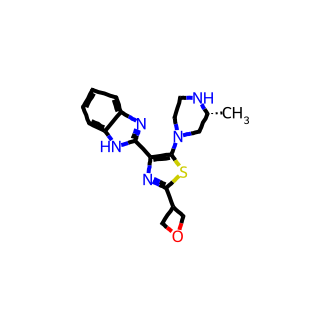 C[C@@H]1CN(c2sc(C3COC3)nc2-c2nc3ccccc3[nH]2)CCN1